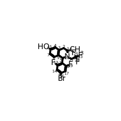 C[C@@H]1Cc2cc(O)ccc2C(c2c(F)cc(Br)cc2F)N1CC(F)(F)F